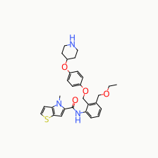 CCOCc1cccc(NC(=O)c2cc3sccc3n2C)c1COc1ccc(OC2CCNCC2)cc1